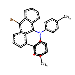 Cc1ccc(N(c2ccc(C)cc2)c2c3ccccc3c(Br)c3cccc(-c4ccccc4)c23)cc1